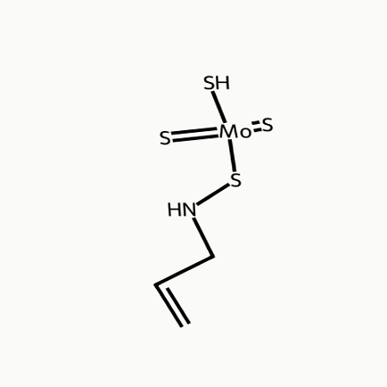 C=CCN[S][Mo](=[S])(=[S])[SH]